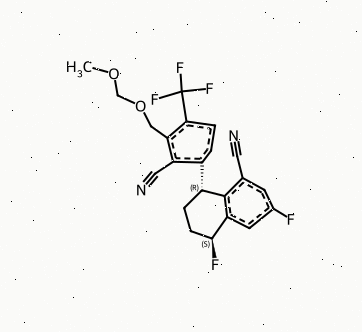 COCOCc1c(C(F)(F)F)ccc([C@H]2CC[C@H](F)c3cc(F)cc(C#N)c32)c1C#N